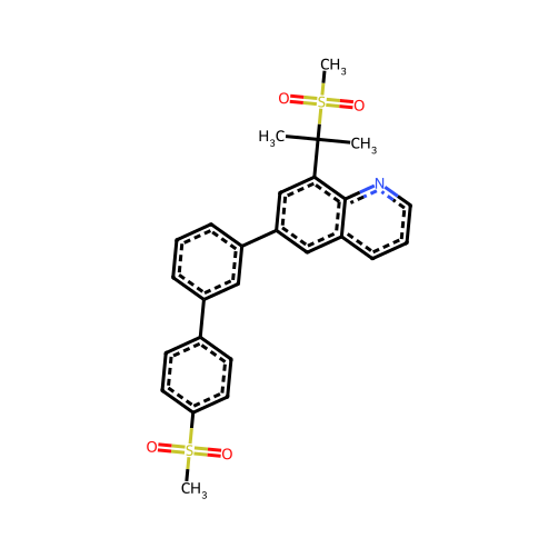 CC(C)(c1cc(-c2cccc(-c3ccc(S(C)(=O)=O)cc3)c2)cc2cccnc12)S(C)(=O)=O